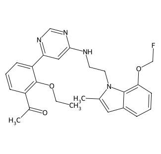 CCOc1c(C(C)=O)cccc1-c1cc(NCCn2c(C)cc3cccc(OCF)c32)ncn1